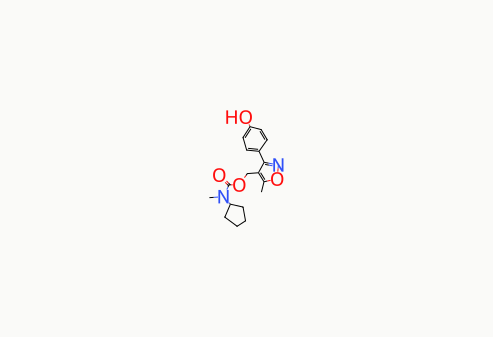 Cc1onc(-c2ccc(O)cc2)c1COC(=O)N(C)C1CCCC1